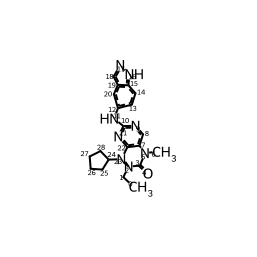 CCN1C(=O)N(C)c2cnc(Nc3ccc4[nH]ncc4c3)nc2N1C1CCCC1